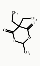 CCC1(CC)C(=O)OC(C)OC1=O